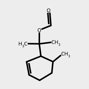 CC1CCC=CC1C(C)(C)OC=O